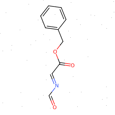 O=CN=CC(=O)OCc1ccccc1